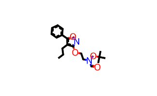 CCCc1c(OCCN(C=O)OC(C)(C)C)noc1-c1ccccc1